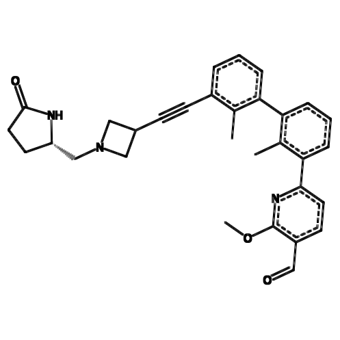 COc1nc(-c2cccc(-c3cccc(C#CC4CN(C[C@@H]5CCC(=O)N5)C4)c3C)c2C)ccc1C=O